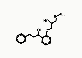 CC(C)(C)NCC(O)COc1ccccc1C(O)CCc1ccccc1